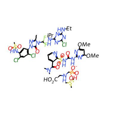 CCNc1nc(Cl)nc(NC(C)C)n1.COc1cc(OC)nc(NC(=O)NS(=O)(=O)c2ncccc2C(=O)N(C)C)n1.C[S+](C)C.Cc1nn(-c2cc(NS(C)(=O)=O)c(Cl)cc2Cl)c(=O)n1C(F)F.O=C(O)CNCP(=O)([O-])O